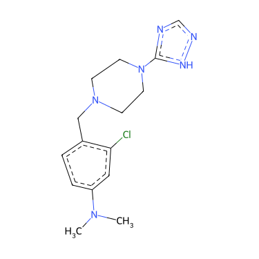 CN(C)c1ccc(CN2CCN(c3ncn[nH]3)CC2)c(Cl)c1